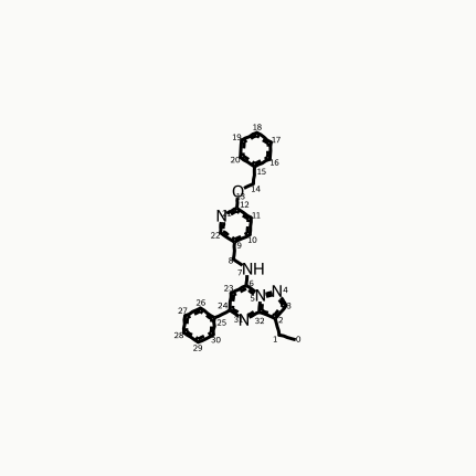 CCc1cnn2c(NCc3ccc(OCc4ccccc4)nc3)cc(-c3ccccc3)nc12